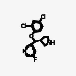 Fc1cncc(C(Oc2ccc(Cl)cc2Cl)[C@H]2CCNC2)c1